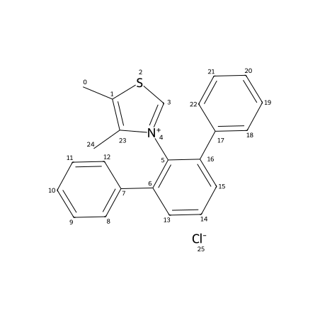 Cc1sc[n+](-c2c(-c3ccccc3)cccc2-c2ccccc2)c1C.[Cl-]